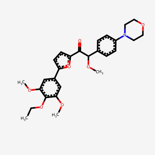 CCOc1c(OC)cc(-c2ccc(C(=O)C(OC)c3ccc(N4CCOCC4)cc3)o2)cc1OC